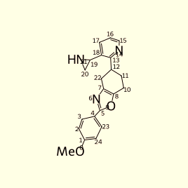 COc1ccc(-c2nc3c(o2)CCC(c2ncccc2C2CN2)C3)cc1